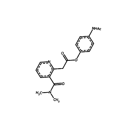 CC(=O)Nc1ccc(OC(=O)Cc2ncccc2C(=O)N(C)C)cc1